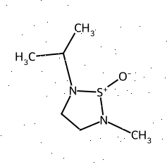 CC(C)N1CCN(C)[S+]1[O-]